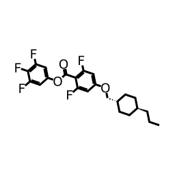 CCC[C@H]1CC[C@H](COc2cc(F)c(C(=O)Oc3cc(F)c(F)c(F)c3)c(F)c2)CC1